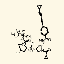 CC(C)(C)OC(=O)N1C[C@@H](F)C[C@H]1C(=O)N[C@@H]1C[C@H](CNC(=O)c2ccc(C#CC#CC3CC3)cc2)N(C(=O)C2CC2)C1